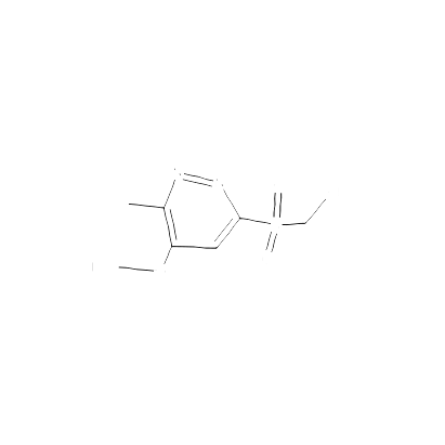 CCS(=O)(=O)c1cc(OC)c(Cl)nn1